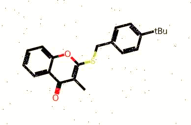 Cc1c(SCc2ccc(C(C)(C)C)cc2)oc2ccccc2c1=O